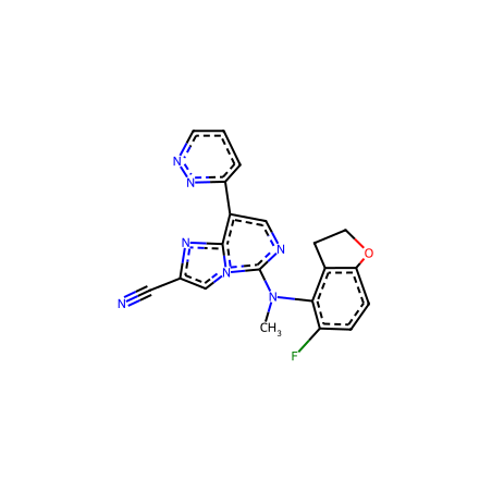 CN(c1c(F)ccc2c1CCO2)c1ncc(-c2cccnn2)c2nc(C#N)cn12